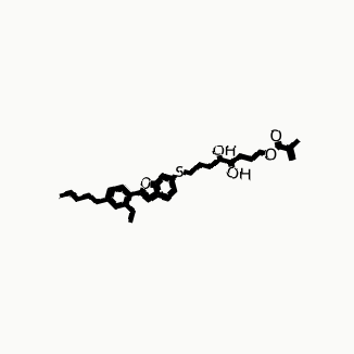 C=C(C)C(=O)OCCCC(O)C(O)CCCSc1ccc2cc(-c3ccc(CCCCC)cc3CC)oc2c1